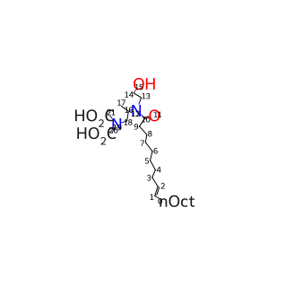 CCCCCCCCC=CCCCCCCCC(=O)N(CCO)C(C)CN(C(=O)O)C(=O)O